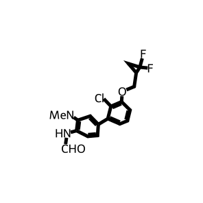 CNc1cc(-c2cccc(OCC3CC3(F)F)c2Cl)ccc1NC=O